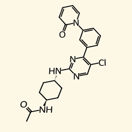 CC(=O)N[C@H]1CC[C@H](Nc2ncc(Cl)c(-c3cccc(-n4ccccc4=O)c3)n2)CC1